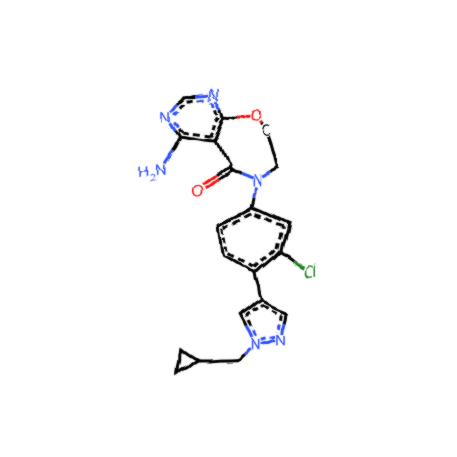 Nc1ncnc2c1C(=O)N(c1ccc(-c3cnn(CC4CC4)c3)c(Cl)c1)CCO2